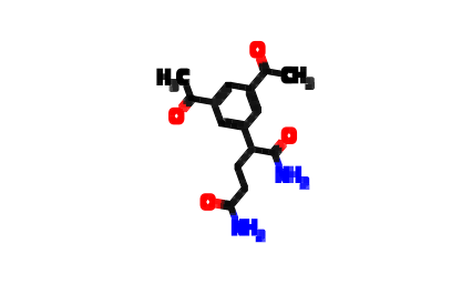 CC(=O)c1cc(C(C)=O)cc(C(CCC(N)=O)C(N)=O)c1